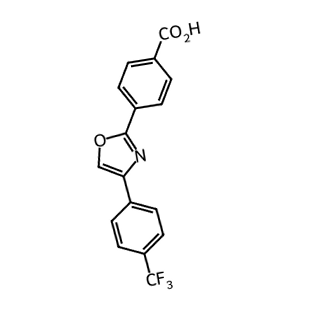 O=C(O)c1ccc(-c2nc(-c3ccc(C(F)(F)F)cc3)co2)cc1